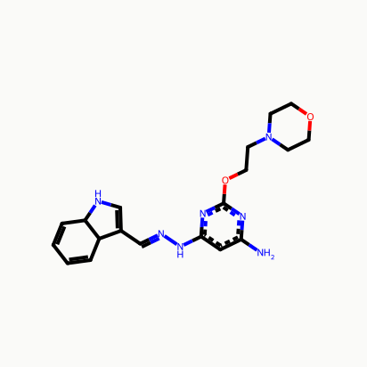 Nc1cc(N/N=C/C2=CNC3C=CC=CC23)nc(OCCN2CCOCC2)n1